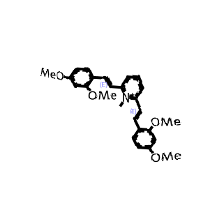 COc1ccc(/C=C/c2cccc(/C=C/c3ccc(OC)cc3OC)[n+]2C)c(OC)c1